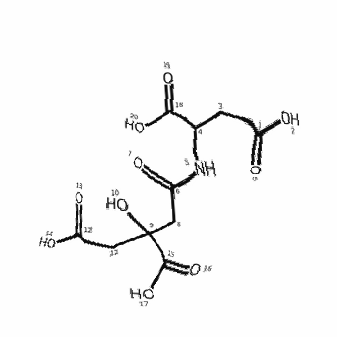 O=C(O)CC(NC(=O)CC(O)(CC(=O)O)C(=O)O)C(=O)O